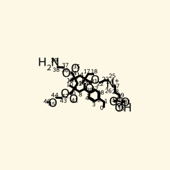 CCc1ccc(C(C)CC(C)(CC(C)(CC(C)(CC)C(=O)OCC[N+](C)(C)CCCS(=O)(=O)O)C(=O)OCCN)C(=O)OCCOC)cc1